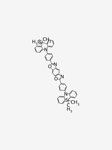 C[Si]1(C)c2ccccc2N(c2ccc(-c3nc4cc5nc(-c6ccc(N7c8ccccc8[Si](C)(C)c8ccccc87)cc6)oc5cc4o3)cc2)c2ccccc21